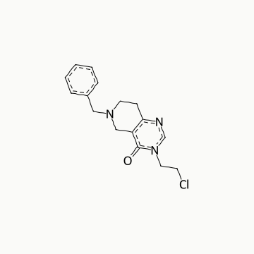 O=c1c2c(ncn1CCCl)CCN(Cc1ccccc1)C2